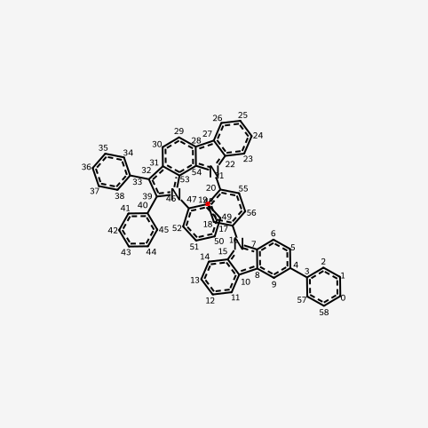 c1ccc(-c2ccc3c(c2)c2ccccc2n3-c2ccc(-n3c4ccccc4c4ccc5c(-c6ccccc6)c(-c6ccccc6)n(-c6ccccc6)c5c43)cc2)cc1